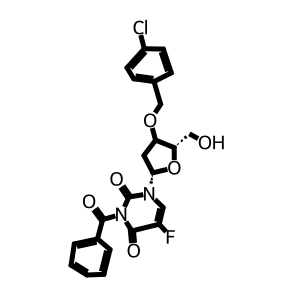 O=C(c1ccccc1)n1c(=O)c(F)cn([C@@H]2CC(OCc3ccc(Cl)cc3)[C@H](CO)O2)c1=O